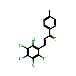 Cc1ccc(C(=S)C=Cc2c(Cl)c(Cl)c(Cl)c(Cl)c2Cl)cc1